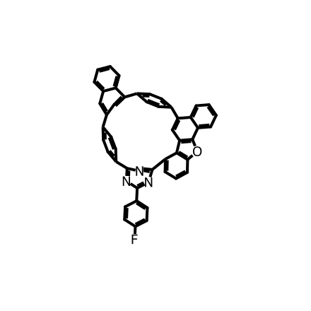 Fc1ccc(-c2nc3nc(n2)c2cccc4oc5c6ccccc6c(cc5c42)c2ccc(cc2)c2cc(cc4ccccc42)c2ccc3cc2)cc1